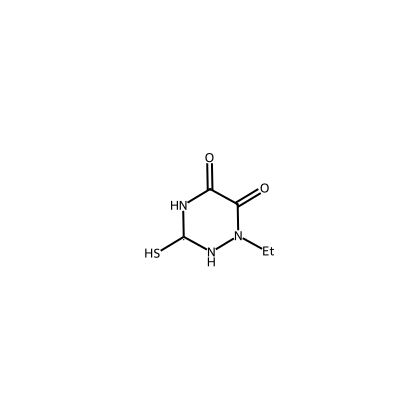 CCN1N[C](S)NC(=O)C1=O